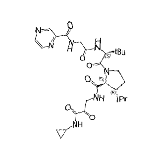 CC(C)[C@H]1CCN(C(=O)[C@@H](NC(=O)CNC(=O)c2cnccn2)C(C)(C)C)[C@@H]1C(=O)NCC(=O)C(=O)NC1CC1